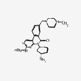 CCCCNc1ncc2c3ccc(CN4CCN(C)CC4)cc3c(=O)n([C@H]3CC[C@H](N)C3)c2n1